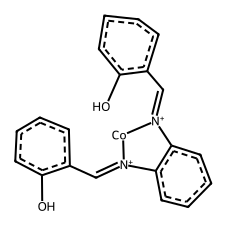 Oc1ccccc1C=[N+]1[Co][N+](=Cc2ccccc2O)c2ccccc21